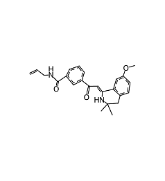 C=CCNC(=O)c1cccc(C(=O)C=C2NC(C)(C)Cc3ccc(OC)cc32)c1